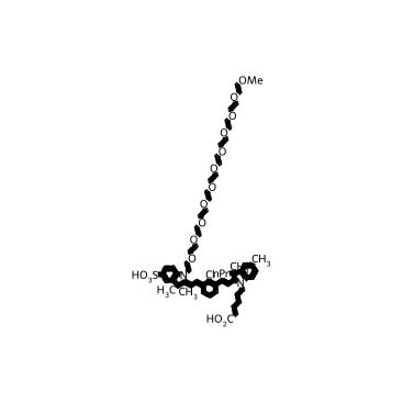 CCCC1(C)C(C=CC2=C(Cl)C(=CC=C3N(CCOCCOCCOCCOCCOCCOCCOCCOCCOCCOCCOC)c4ccc(S(=O)(=O)O)cc4C3(C)C)CCC2)=[N+](CCCCCC(=O)O)c2ccc(C)cc21